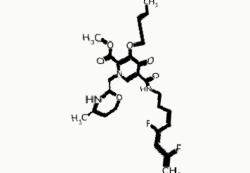 C=C(F)/C=C(F)\C=C/CCNC(=O)c1cn(C[C@@H]2N[C@H](C)CCO2)c(C(=O)OC)c(OCCCC)c1=O